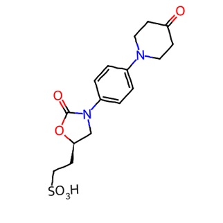 O=C1CCN(c2ccc(N3C[C@@H](CCS(=O)(=O)O)OC3=O)cc2)CC1